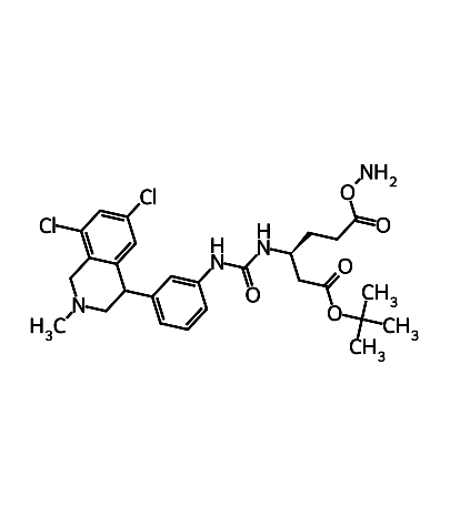 CN1Cc2c(Cl)cc(Cl)cc2C(c2cccc(NC(=O)N[C@@H](CCC(=O)ON)CC(=O)OC(C)(C)C)c2)C1